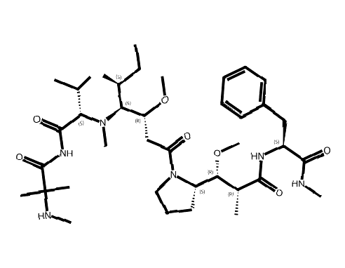 CC[C@H](C)[C@@H]([C@@H](CC(=O)N1CCC[C@H]1[C@H](OC)[C@@H](C)C(=O)N[C@@H](Cc1ccccc1)C(=O)NC)OC)N(C)[C@H](C(=O)NC(=O)C(C)(C)NC)C(C)C